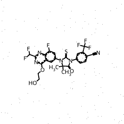 CC1(C)C(=O)N(c2ccc(C#N)c(C(F)(F)F)c2)C(=S)N1c1cc(F)c2nc(C(F)F)nc(OCCO)c2c1